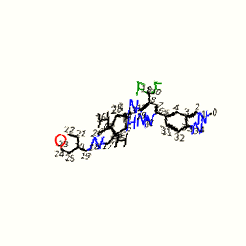 Cn1cc2cc(-c3cc(C(F)F)c(N[C@@H]4C[C@@H]5CN(CC6CCOCC6)C[C@@H]5C4)nn3)ccc2n1